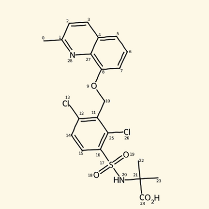 Cc1ccc2cccc(OCc3c(Cl)ccc(S(=O)(=O)NC(C)(C)C(=O)O)c3Cl)c2n1